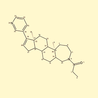 CCC(=O)N1CCC[C@@]2(C)C(CCC3C2CC[C@]2(C)C(c4cccnc4)=CCC32)C1